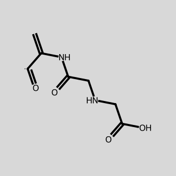 C=C([C]=O)NC(=O)CNCC(=O)O